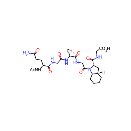 CC(=O)N[C@@H](CCC(N)=O)C(=O)NCC(=O)NC(C)C(=O)NCC(=O)N1C2CCCC[C@H]2C[C@H]1C(=O)NCC(=O)O